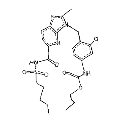 CCCCCS(=O)(=O)NC(=O)c1ccc2nc(C)n(Cc3ccc(NC(=O)OCCC)cc3Cl)c2n1